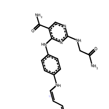 N=C/C=C\Nc1ccc(Nc2nc(NCC(N)=O)ncc2C(N)=O)cc1